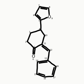 O=C1CCC(c2ccco2)CC1=Cc1ccccc1